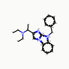 CCN(CC)C(C)c1cn2c3ccccc3n(Cc3ccccc3)c2n1